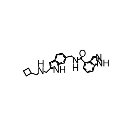 O=C(NCc1ccc2cc(CNCC3CCC3)[nH]c2c1)c1cccc2[nH]ncc12